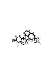 CC(C)C1(C)C=Cc2cccc3c2C(=C1)C(=O)N3C1CCC(=O)NC1=O